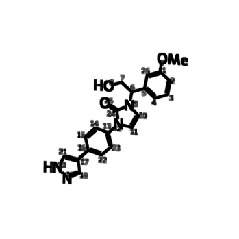 COc1cccc(C(CO)n2ccn(-c3ccc(-c4cn[nH]c4)cc3)c2=O)c1